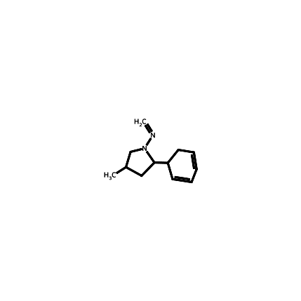 C=NN1CC(C)CC1C1C=CC=CC1